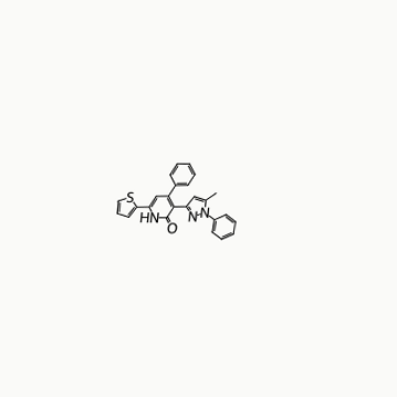 Cc1cc(-c2c(-c3ccccc3)cc(-c3cccs3)[nH]c2=O)nn1-c1ccccc1